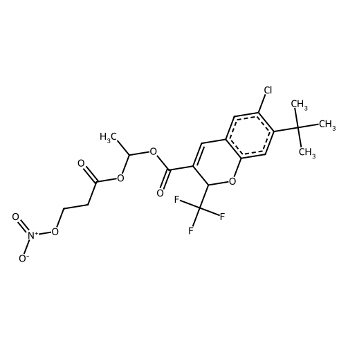 CC(OC(=O)CCO[N+](=O)[O-])OC(=O)C1=Cc2cc(Cl)c(C(C)(C)C)cc2OC1C(F)(F)F